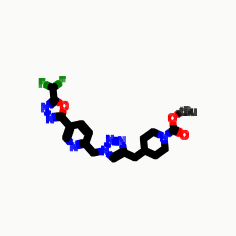 CC(C)(C)OC(=O)N1CCC(Cc2cn(Cc3ccc(-c4nnc(C(F)F)o4)cn3)nn2)CC1